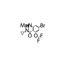 CNc1cc(Br)cc(OC(F)F)c1C(=O)NC1CC1